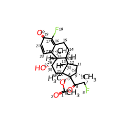 CC(=O)O[C@@]1(C(=O)CF)[C@@H](C)C[C@H]2[C@@H]3CCC4=C(F)C(=O)C=C[C@]4(C)[C@H]3[C@@H](O)C[C@@]21C